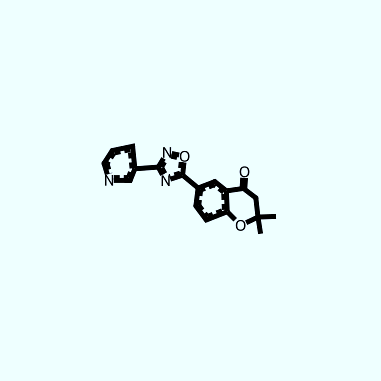 CC1(C)CC(=O)c2cc(-c3nc(-c4cccnc4)no3)ccc2O1